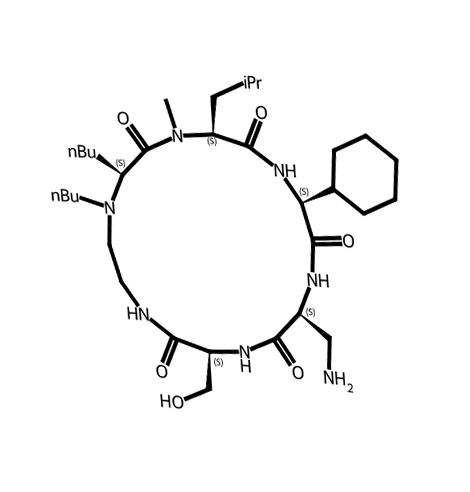 CCCC[C@H]1C(=O)N(C)[C@@H](CC(C)C)C(=O)N[C@@H](C2CCCCC2)C(=O)N[C@@H](CN)C(=O)N[C@@H](CO)C(=O)NCCN1CCCC